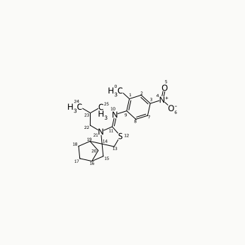 Cc1cc([N+](=O)[O-])ccc1N=C1SCC2(CC3CCC2C3)N1CC(C)C